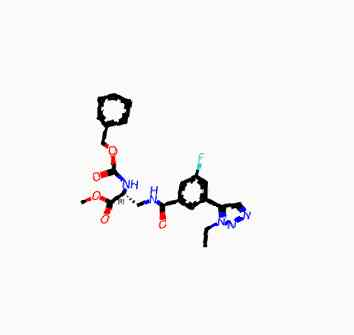 CCn1nncc1-c1cc(F)cc(C(=O)NC[C@@H](NC(=O)OCc2ccccc2)C(=O)OC)c1